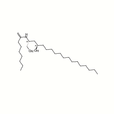 C=C(CCCCCCC)N[C@@H](CO)C[C@H](O)CCCCCCCCCCCCCC